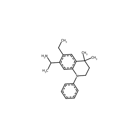 CCc1cc2c(cc1C(C)N)N(c1ccccc1)CCC2(C)C